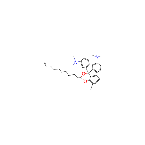 C=CCCCCCCCCC1Oc2c(C)cccc2C(c2cccc(N(C)C)c2)(c2cccc(N(C)C)c2)O1